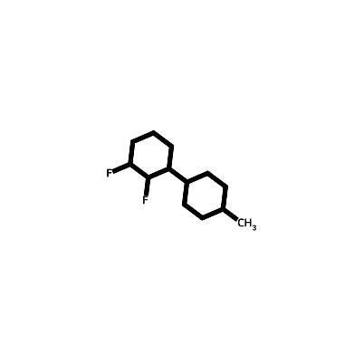 CC1CCC(C2CCCC(F)C2F)CC1